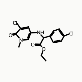 CCOC(=O)C(Nc1cc(Cl)c(=O)n(C)c1)c1ccc(Cl)cc1